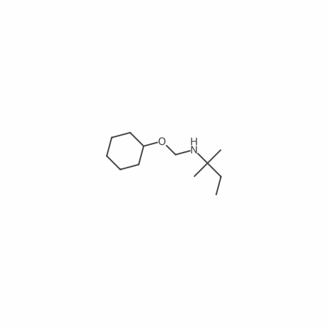 CCC(C)(C)NCOC1CCCCC1